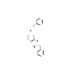 O=C(OCc1ccccc1)N1CCc2[nH]c(=O)n(Cc3ccccc3Cl)c(=O)c2C1